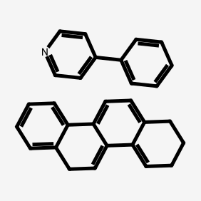 C1=c2c(ccc3c2=CCc2ccccc2-3)CCC1.c1ccc(-c2ccncc2)cc1